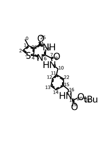 Cc1csc2nc(C(=O)NCc3cccc(CNC(=O)OC(C)(C)C)c3)[nH]c(=O)c12